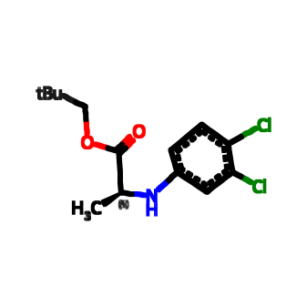 C[C@H](Nc1ccc(Cl)c(Cl)c1)C(=O)OCC(C)(C)C